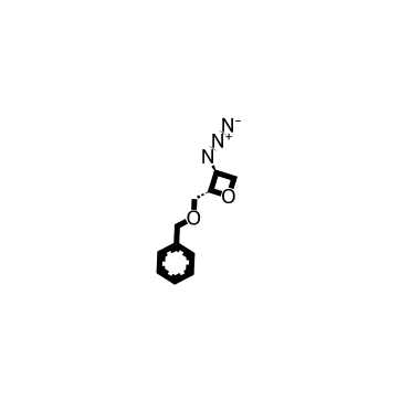 [N-]=[N+]=N[C@@H]1CO[C@@H]1COCc1ccccc1